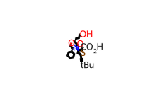 CC(C)(C)C#Cc1cc(N2C(=O)[C@H](CCCO)OC[C@H]2C2CCCCC2)c(C(=O)O)s1